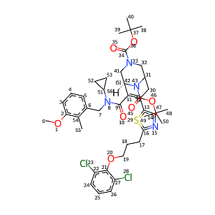 COc1cccc(CN(C(=O)C2=C(c3cnc(CCCOc4c(Cl)cccc4Cl)s3)CC3CN(C(=O)OC(C)(C)C)C[C@H]2N3C(=O)OC(C)(C)C)C2CC2)c1C